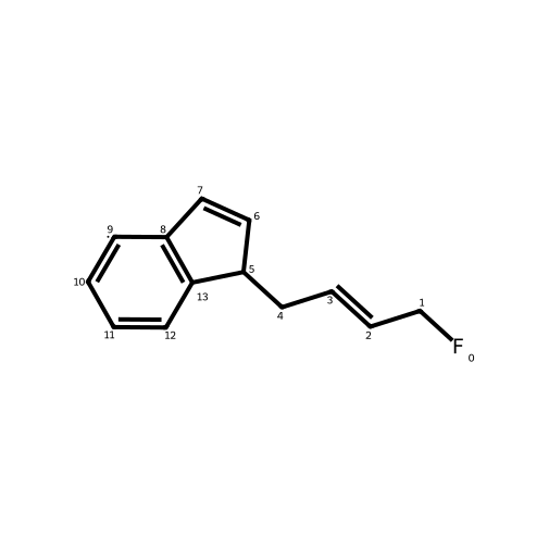 FC/C=C/CC1C=Cc2[c]cccc21